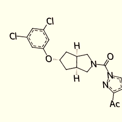 CC(=O)c1ccn(C(=O)N2C[C@H]3C[C@H](Oc4cc(Cl)cc(Cl)c4)C[C@H]3C2)n1